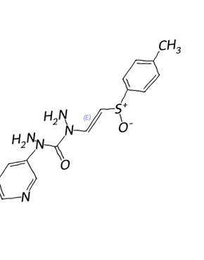 Cc1ccc([S+]([O-])/C=C/N(N)C(=O)N(N)c2cccnc2)cc1